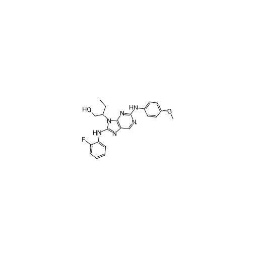 CCC(CO)n1c(Nc2ccccc2F)nc2cnc(Nc3ccc(OC)cc3)nc21